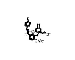 COc1ccc(C(=O)/C=C/c2ccc(F)cc2)c(O)c1CN1CCNCC1CCO